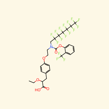 CCOC(Cc1ccc(OCCN(CC(F)(F)C(F)(F)C(F)(F)C(F)(F)C(F)(F)C(F)(F)F)C(=O)Oc2ccccc2C(F)(F)F)cc1)C(=O)O